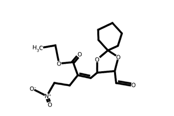 CCOC(=O)C(=CC1OC2(CCCCC2)OC1C=O)CC[N+](=O)[O-]